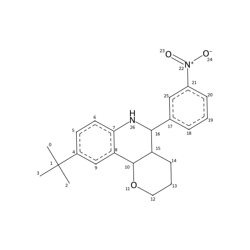 CC(C)(C)c1ccc2c(c1)C1OCCCC1C(c1cccc([N+](=O)[O-])c1)N2